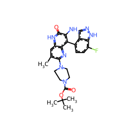 Cc1cc2[nH]c(=O)c(N)c(-c3ccc(F)c4[nH]ncc34)c2nc1N1CCN(C(=O)OC(C)(C)C)CC1